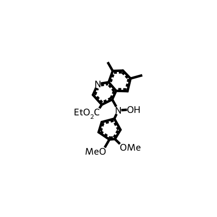 CCOC(=O)c1cnc2c(C)cc(C)cc2c1N(O)c1ccc(OC)c(OC)c1